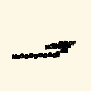 COCCOCCOCCOCCOCCOCCOCCOc1ccc(-c2cc3c(N[C@@H]4CCN(c5ccc(C#N)nn5)CC4(C)C)c(/C(N)=N/c4cc(F)ccc4Cl)cnn3c2)cn1